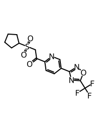 O=C(CS(=O)(=O)C1CCCC1)c1ccc(-c2noc(C(F)(F)F)n2)cn1